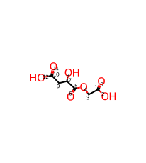 O=C(O)COC(=O)C(O)CC(=O)O